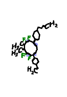 C=CCCC1CCC(C2=C/C/C=C(C3=CCC(C=C)CC3)\C(F)=C(\F)C(=C)C(=C)/C(F)=C\2F)CC1